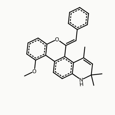 COc1cccc2c1-c1ccc3c(c1C(=Cc1ccccc1)O2)C(C)=CC(C)(C)N3